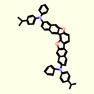 CC(C)c1ccc(N(c2ccccc2)c2ccc3cc4c(cc3c2)oc2c4ccc3oc4cc5cc(N(c6ccccc6)c6ccc(C(C)C)cc6)ccc5cc4c32)cc1